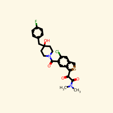 CN(C)C(=O)C(=O)c1scc2cc(Cl)c(C(=O)N3CCC(O)(Cc4ccc(F)cc4)CC3)cc12